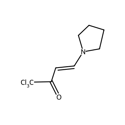 O=C(C=CN1CCCC1)C(Cl)(Cl)Cl